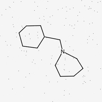 C1CCC(CN2CCCCC2)CC1